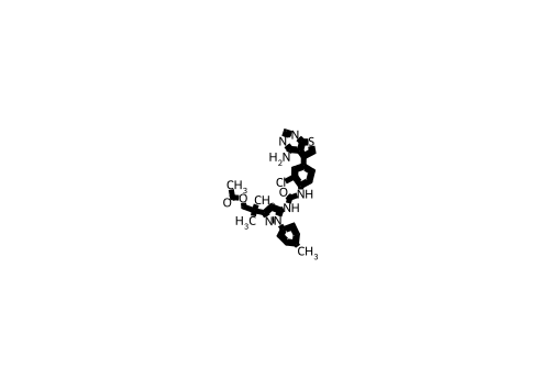 CC(=O)OCC(C)(C)c1cc(NC(=O)Nc2ccc(-c3csc4ncnc(N)c34)cc2Cl)n(-c2ccc(C)cc2)n1